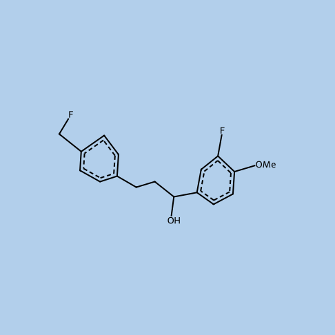 COc1ccc(C(O)CCc2ccc(CF)cc2)cc1F